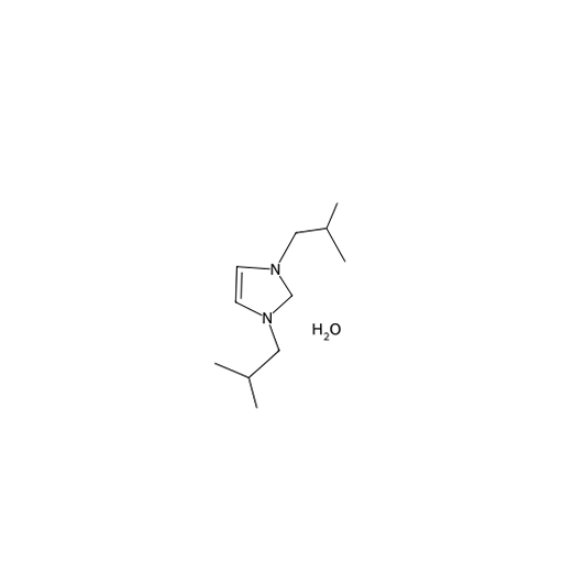 CC(C)CN1C=CN(CC(C)C)C1.O